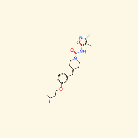 Cc1noc(NC(=O)N2CCC(=Cc3cccc(OCCC(C)C)c3)CC2)c1C